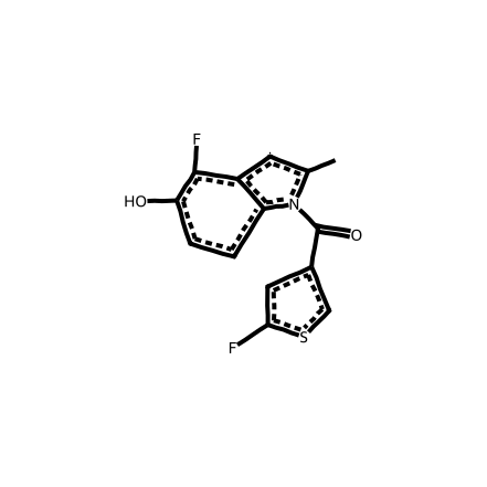 Cc1[c]c2c(F)c(O)ccc2n1C(=O)c1csc(F)c1